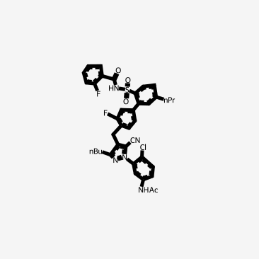 CCCCc1nn(-c2cc(NC(C)=O)ccc2Cl)c(C#N)c1Cc1ccc(-c2cc(CCC)ccc2S(=O)(=O)NC(=O)c2ccccc2F)cc1F